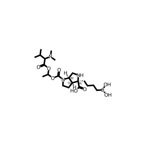 CC(OC(=O)C(C(C)C)N(C)C)OC(=O)N1CC[C@H]2[C@@H]1CN[C@@]2(CCCCB(O)O)C(=O)O